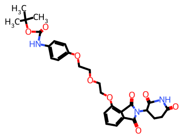 CC(C)(C)OC(=O)Nc1ccc(OCCOCCOc2cccc3c2C(=O)N(C2CCC(=O)NC2=O)C3=O)cc1